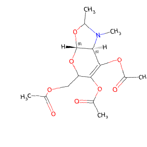 CC(=O)OCC1O[C@@H]2OC(C)N(C)[C@H]2C(OC(C)=O)=C1OC(C)=O